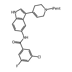 CCCC(C)N1CC=C(c2c[nH]c3ccc(NC(=O)c4cc(F)cc(Cl)c4)cc23)CC1